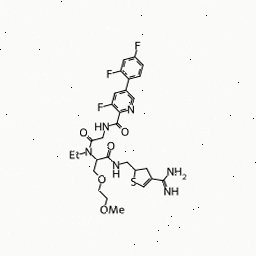 CCN(C(=O)CNC(=O)c1ncc(-c2ccc(F)cc2F)cc1F)C(COCCOC)C(=O)NCC1CC(C(=N)N)=CS1